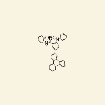 CN(C(=O)c1cc(-c2ccc3c4ccccc4c4ccccc4c3c2)ccc1N(C=O)c1ccccc1)c1ccccc1